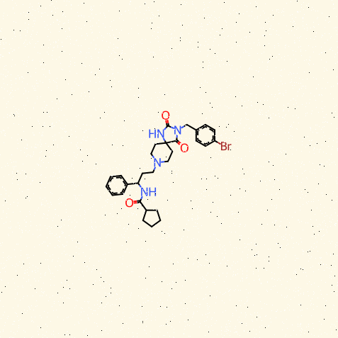 O=C(NC(CCN1CCC2(CC1)NC(=O)N(Cc1ccc(Br)cc1)C2=O)c1ccccc1)C1CCCC1